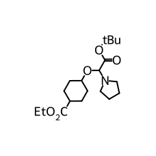 CCOC(=O)C1CCC(OC(C(=O)OC(C)(C)C)N2CCCC2)CC1